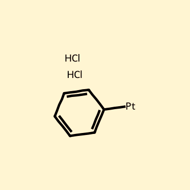 Cl.Cl.[Pt][c]1ccccc1